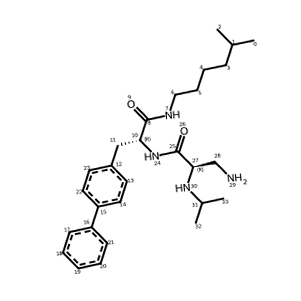 CC(C)CCCCNC(=O)[C@@H](Cc1ccc(-c2ccccc2)cc1)NC(=O)[C@@H](CN)NC(C)C